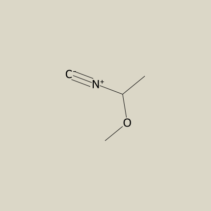 [C-]#[N+]C(C)OC